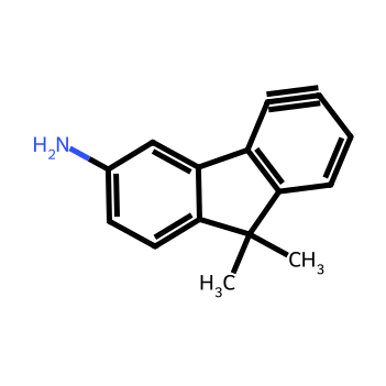 CC1(C)c2ccc#cc2-c2cc(N)ccc21